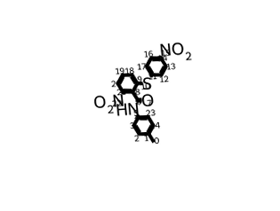 Cc1ccc(NC(=O)c2c(Sc3ccc([N+](=O)[O-])cc3)cccc2[N+](=O)[O-])cc1